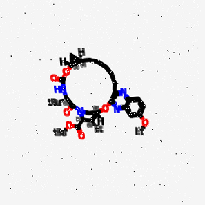 CCOc1ccc2nc3c(nc2c1)O[C@H]1CN(C(=O)[C@H](C(C)(C)C)NC(=O)O[C@@H]2C[C@H]2CCCCC3)[C@H](C(=O)OC(C)(C)C)[C@@H]1CC